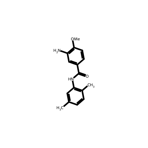 COc1ccc(C(=O)Nc2cc(C)ccc2C)cc1N